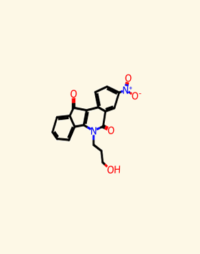 O=C1c2ccccc2-c2c1c1ccc([N+](=O)[O-])cc1c(=O)n2CCCO